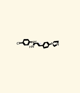 N=C(/C=C/c1ccc(-n2ccnc2)cc1)Nc1ccc(Cl)cc1